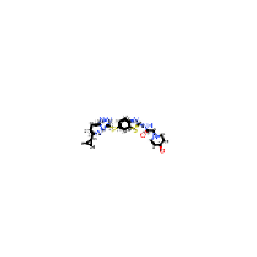 O=C1CCN(CC(=O)Nc2nc3ccc(Sc4nnc5ccc(C6CC6)nn45)cc3s2)CC1